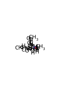 CC(=O)OCOC(=O)N1CCN(/C(=N/[C@H]2C[C@H]3C[C@@H]([C@@H]2C)C3(C)C)Nc2ccc(C(=O)NCCc3ccc(Cl)cc3Cl)cc2)C[C@@H]1C